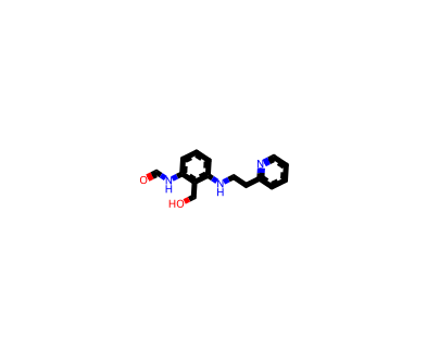 O=CNc1cccc(NCCc2ccccn2)c1CO